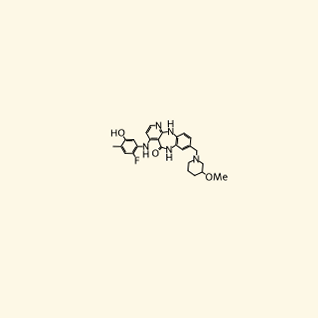 COC1CCCN(Cc2ccc3c(c2)NC(=O)c2c(Nc4cc(O)c(C)cc4F)ccnc2N3)C1